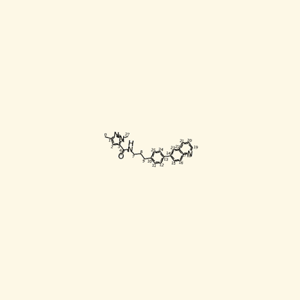 Cc1cc(C(=O)NCCCc2ccc(-c3ccc4ncccc4c3)cc2)n(C)n1